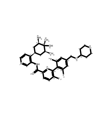 C[C@H]1C[C@@H](c2ccncc2NC(=O)c2ccc(F)c(-c3c(F)cc(COC4CCOCC4)cc3F)n2)C[C@@H](N)[C@]1(C)O